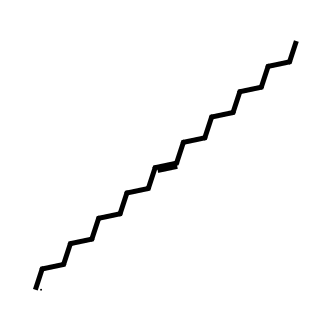 [CH2]CCCCCCCCC=CCCCCCCCCC